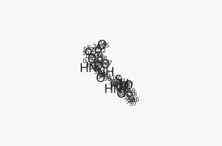 CCC(COC(c1ccccc1)(c1ccc(OC)cc1)c1ccc(OC)cc1)NC(=O)CNC(=O)CCCC[C@@H]1SC[C@H]2[C@@H]1NC(=O)N2C(=O)c1ccc(C(C)(C)C)cc1